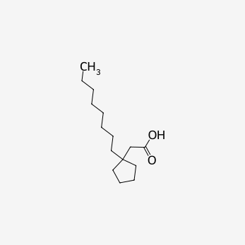 CCCCCCCCC1(CC(=O)O)CCCC1